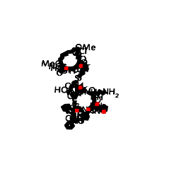 COc1cc2cc(c1Cl)N(C)C(=O)C[C@H](OC(=O)[C@H](C)N(C)C(=O)CCSSCCNC(=O)[C@@H](NC(=O)[C@@H]1CSSC[C@H](NC(=O)[C@@H](Cc3ccccc3)NC(=O)NC3CCCCC3)C(=O)N[C@@H](Cc3ccc(O)cc3)C(=O)N[C@H](Cc3c[nH]c4ccccc34)C(=O)N[C@@H](CCCCN)C(=O)N[C@@H]([C@@H](C)O)C(=O)N1)[C@@H](C)O)[C@]1(C)O[C@H]1[C@H](C)[C@@H]1C[C@@](O)(NC(=O)O1)[C@H](OC)/C=C/C=C(\C)C2